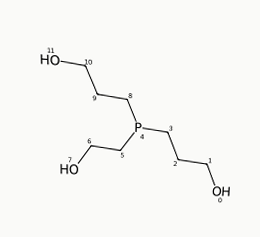 OCCCP(CCO)CCCO